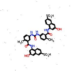 Cc1ccc(NC(=O)Nc2ccc(C)c(C(=O)Nc3cc(O)cc4cc(S(=O)(=O)O)ccc34)c2)cc1C(=O)Nc1cc(O)cc2cc(S(=O)(=O)O)ccc12